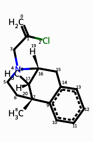 C=C(Cl)CN1CC[C@@]2(C)c3ccccc3C[C@@H]1[C@H]2C